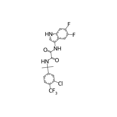 CC(C)(NC(=O)C(=O)Nc1c[nH]c2cc(F)c(F)cc12)c1ccc(C(F)(F)F)c(Cl)c1